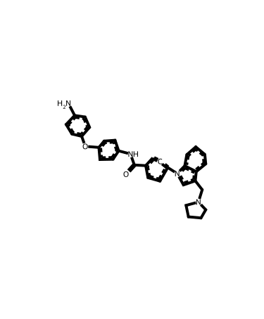 Nc1ccc(Oc2ccc(NC(=O)c3ccc(-n4cc(CN5CCCC5)c5ccccc54)cc3)cc2)cc1